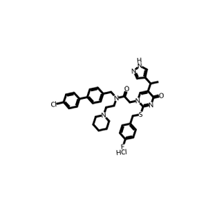 CC(c1cn[nH]c1)c1cn(CC(=O)N(CCN2CCCCC2)Cc2ccc(-c3ccc(Cl)cc3)cc2)c(SCc2ccc(F)cc2)nc1=O.Cl